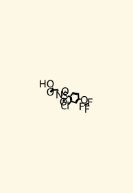 CN(CC(=O)O)S(=O)(=O)c1ccc(OC(F)(F)F)cc1Cl